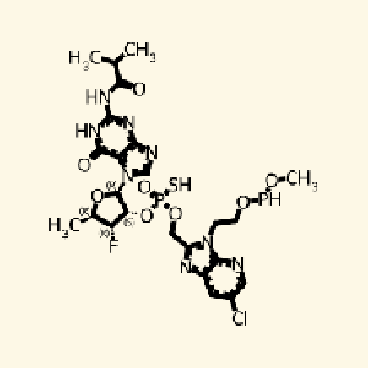 COPOCCn1c(COP(=O)(S)O[C@@H]2[C@H](F)[C@@H](C)O[C@H]2n2cnc3nc(NC(=O)C(C)C)[nH]c(=O)c32)nc2cc(Cl)cnc21